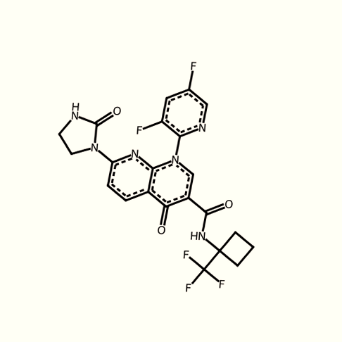 O=C(NC1(C(F)(F)F)CCC1)c1cn(-c2ncc(F)cc2F)c2nc(N3CCNC3=O)ccc2c1=O